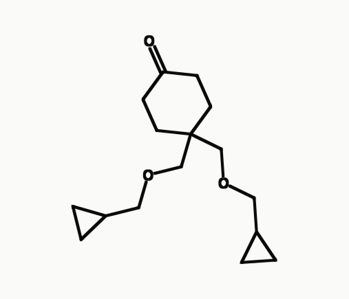 O=C1CCC(COCC2CC2)(COCC2CC2)CC1